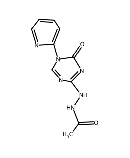 CC(=O)NNc1ncn(-c2ccccn2)c(=O)n1